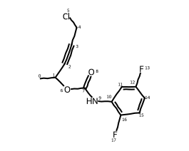 CC(C#CCCl)OC(=O)Nc1cc(F)ccc1F